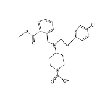 COC(=O)c1ccccc1CN(CCc1ccc(Cl)cc1)C1CCN(C(=O)O)CC1